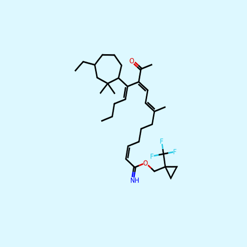 CCC/C=C(/C(=C\C=C(/C)CCC/C=C\C(=N)OCC1(C(F)(F)F)CC1)C(C)=O)C1CCCC(CC)CC1(C)C